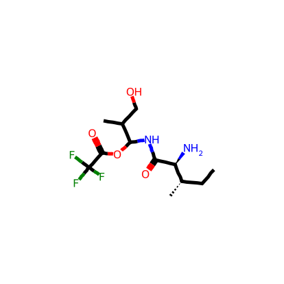 CC[C@H](C)[C@H](N)C(=O)NC(OC(=O)C(F)(F)F)C(C)CO